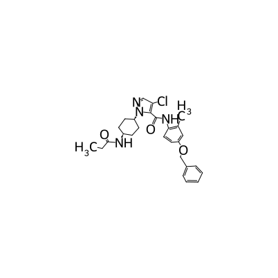 CCC(=O)N[C@H]1CC[C@@H](n2ncc(Cl)c2C(=O)Nc2ccc(OCc3ccccc3)cc2C)CC1